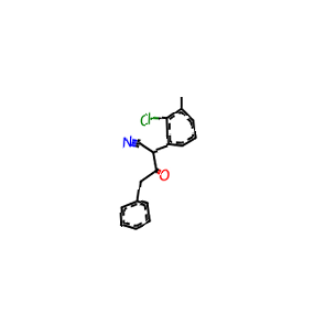 Cc1cccc(C(C#N)C(=O)Cc2ccccc2)c1Cl